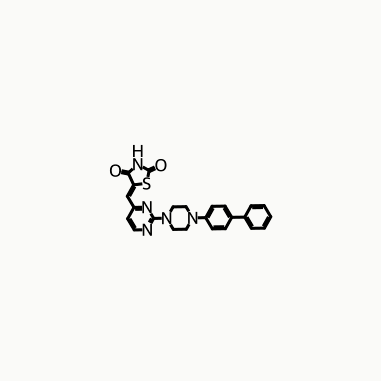 O=C1NC(=O)C(=Cc2ccnc(N3CCN(c4ccc(-c5ccccc5)cc4)CC3)n2)S1